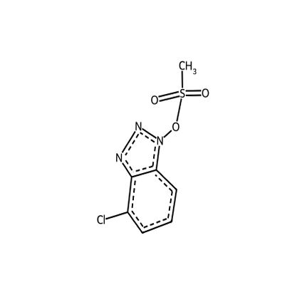 CS(=O)(=O)On1nnc2c(Cl)cccc21